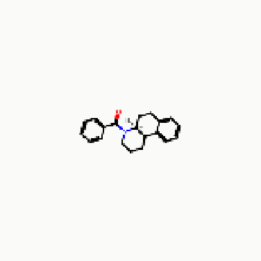 O=C(c1ccccc1)N1CCCC2c3ccccc3CC[C@@H]21